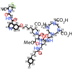 COC(=O)C[C@H](NC(=O)[C@H](CCCNC(=O)CCCc1ccc(C)cc1)NC(=O)CN1CCN(CC(=O)O)CCN(CC(=O)O)CCN(CC(=O)O)CC1)C(=O)N1CCC(CCCCOc2ccc3nccc(C(=O)NCC(=O)N4CC(F)(F)C[C@@H]4C#N)c3c2)CC1